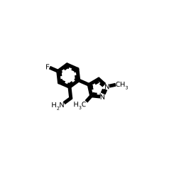 Cc1nn(C)cc1-c1ccc(F)cc1CN